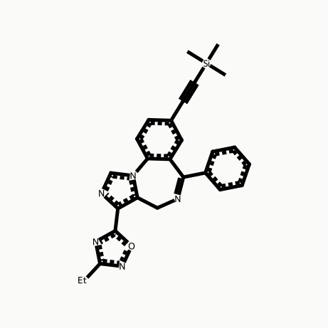 CCc1noc(-c2ncn3c2CN=C(c2ccccc2)c2cc(C#C[Si](C)(C)C)ccc2-3)n1